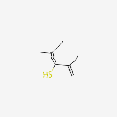 C=C(C)C(S)=C(C)C